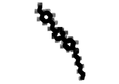 CCCCCCCOc1ccc(-c2cnc(CCC3CCC(CC)CC3)nc2)cc1